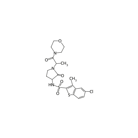 Cc1c(S(=O)(=O)NC2CCN(C(C)C(=O)N3CCOCC3)C2=O)sc2ccc(Cl)cc12